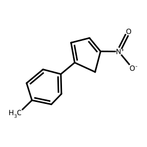 Cc1ccc(C2=CC=C([N+](=O)[O-])C2)cc1